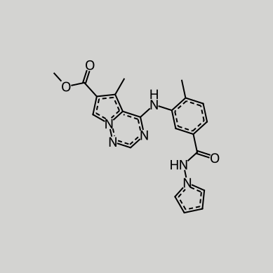 COC(=O)c1cn2ncnc(Nc3cc(C(=O)Nn4cccc4)ccc3C)c2c1C